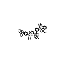 O=C(Nc1cccc(-c2nc3sccn3c2-c2ccnc(Nc3ccc(N4CCOCC4=O)cc3)n2)c1)c1c(Cl)cccc1Cl